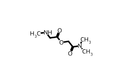 CNCC(=O)OCC(=O)N(C)C